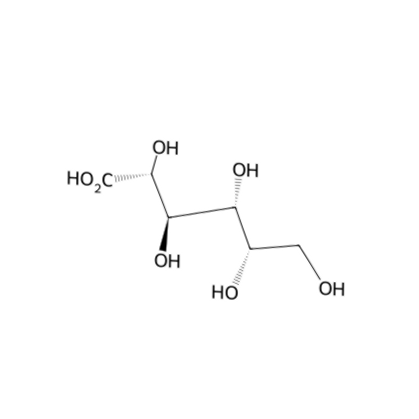 O=C(O)[C@H](O)[C@H](O)[C@H](O)[C@@H](O)CO